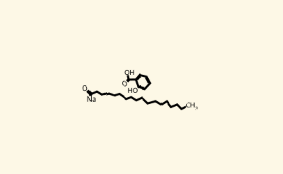 CCCCCCCCCCCCCCCCC[C](=O)[Na].O=C(O)c1ccccc1O